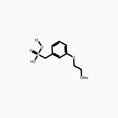 CCOP(=O)(O)Cc1cccc(OCCOC)c1